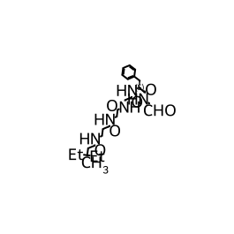 CCC(C)(CC)CC(=O)NCCC(=O)NCC(=O)NCC(=O)N[C@@H](Cc1ccccc1)C(=O)NCC=O